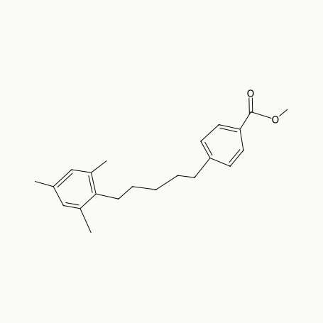 COC(=O)c1ccc(CCCCCc2c(C)cc(C)cc2C)cc1